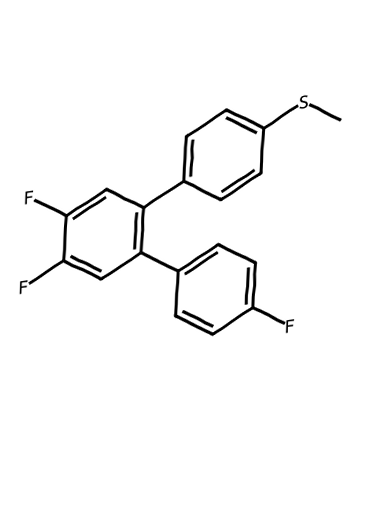 CSc1ccc(-c2cc(F)c(F)cc2-c2ccc(F)cc2)cc1